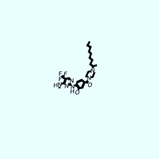 CCCCCCCCC(C)N1CCN(C(=O)c2ccc(Nc3ncc(C(F)(F)F)c(NC)n3)c(OC)c2)CC1